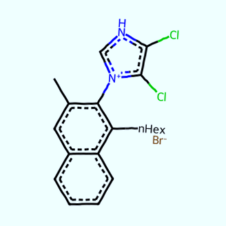 CCCCCCc1c(-[n+]2c[nH]c(Cl)c2Cl)c(C)cc2ccccc12.[Br-]